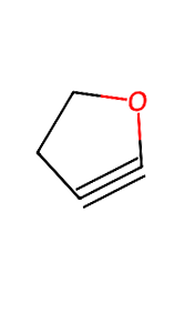 C1#COCC1